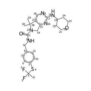 CC(F)(F)Sc1ccc(CNC(=O)N2Cc3nc(NC4CCOCC4)ncc3C2(C)C)cc1